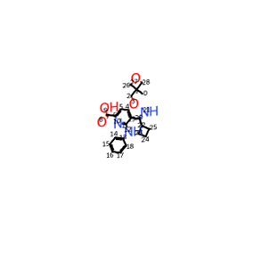 CC1(COc2cc(C(=O)O)nc(Nc3ccccc3)c2C(=N)C2CCC2)COC1